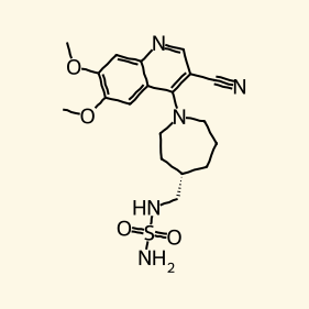 COc1cc2ncc(C#N)c(N3CCC[C@H](CNS(N)(=O)=O)CC3)c2cc1OC